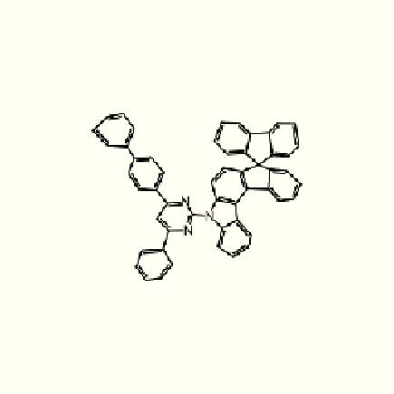 c1ccc(-c2ccc(-c3cc(-c4ccccc4)nc(-n4c5ccccc5c5c6c(ccc54)C4(c5ccccc5-c5ccccc54)c4ccccc4-6)n3)cc2)cc1